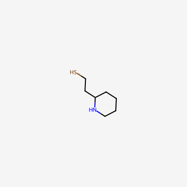 SCCC1CCCCN1